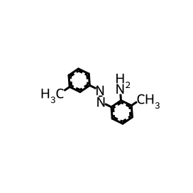 Cc1cccc(N=Nc2cccc(C)c2N)c1